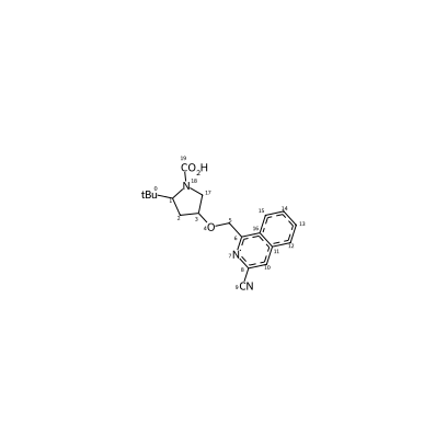 CC(C)(C)C1CC(OCc2nc(C#N)cc3ccccc23)CN1C(=O)O